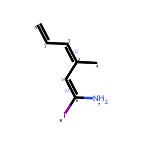 C=C/C=C(C)\C=C(/N)I